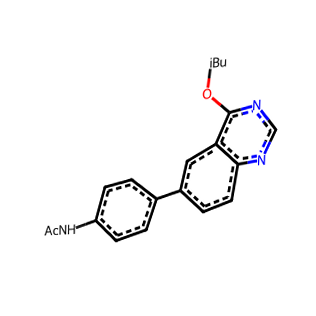 CCC(C)Oc1ncnc2ccc(-c3ccc(NC(C)=O)cc3)cc12